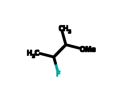 COC(C)C(C)F